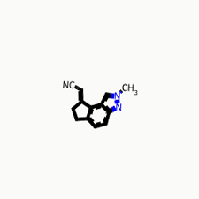 Cn1cc2c3c(ccc2n1)CC/C3=C\C#N